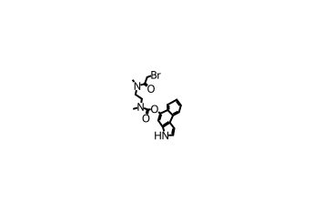 CN(CCN(C)C(=O)Oc1cc2[nH]ccc2c2ccccc12)C(=O)CBr